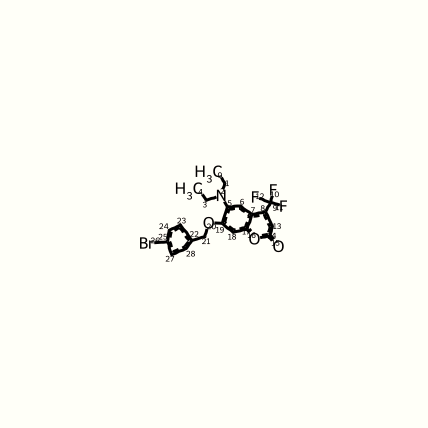 CCN(CC)c1cc2c(C(F)(F)F)cc(=O)oc2cc1OCc1ccc(Br)cc1